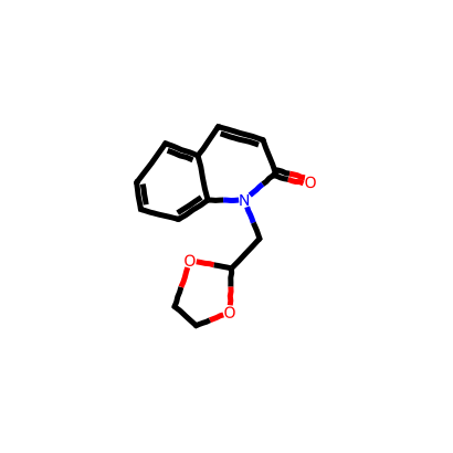 O=c1ccc2ccccc2n1CC1OCCO1